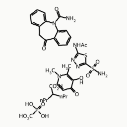 CC(=O)Nc1nnc(S(N)(=O)=O)s1.CCCC(CCC)C(=O)O.Cc1c(O)c(=O)ccn1C.NC(=O)N1c2ccccc2CC(=O)c2ccccc21.O=C(O)P(=O)(O)O